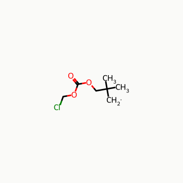 [CH2]C(C)(C)COC(=O)OCCl